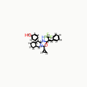 O=C(N[C@@H]1C[C@]2(c3cccc(O)c3)CCCCC2CN1CC1CC1)C(=Cc1ccccc1)C(F)(F)F